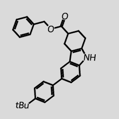 CC(C)(C)c1ccc(-c2ccc3[nH]c4c(c3c2)CC(C(=O)OCc2ccccc2)CC4)cc1